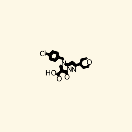 O=C(O)c1cn(Cc2ccc(Cl)cc2)c2cc(C3CCOCC3)nn2c1=O